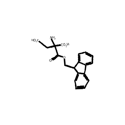 NC(CC(=O)O)(C(=O)O)C(=O)OCC1c2ccccc2-c2ccccc21